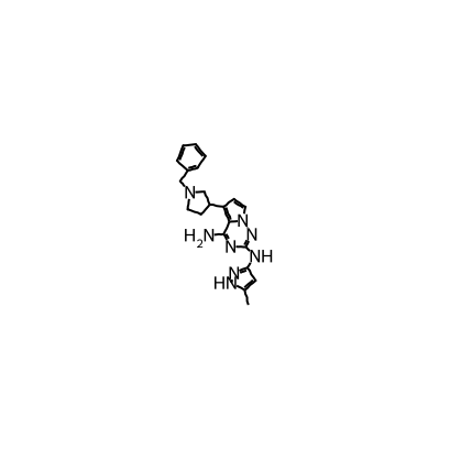 Cc1cc(Nc2nc(N)c3c(C4CCN(Cc5ccccc5)C4)ccn3n2)n[nH]1